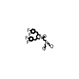 COCCN(CCOC)CCC(=O)N1C/C(=C/c2ccc(F)c(F)c2)C/C(=C\c2ccc(F)c(F)c2)C1